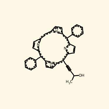 CC(O)C#Cc1c2nc(c(-c3ccccc3)c3ccc(cc4nc(c(-c5ccccc5)c5ccc1[nH]5)C=C4)[nH]3)C=C2